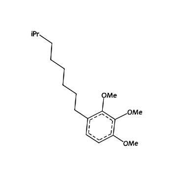 COc1ccc(CCCCCCC(C)C)c(OC)c1OC